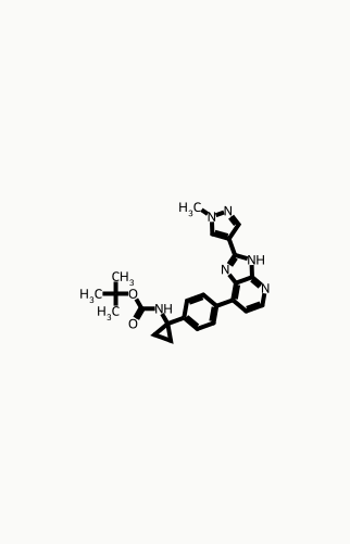 Cn1cc(-c2nc3c(-c4ccc(C5(NC(=O)OC(C)(C)C)CC5)cc4)ccnc3[nH]2)cn1